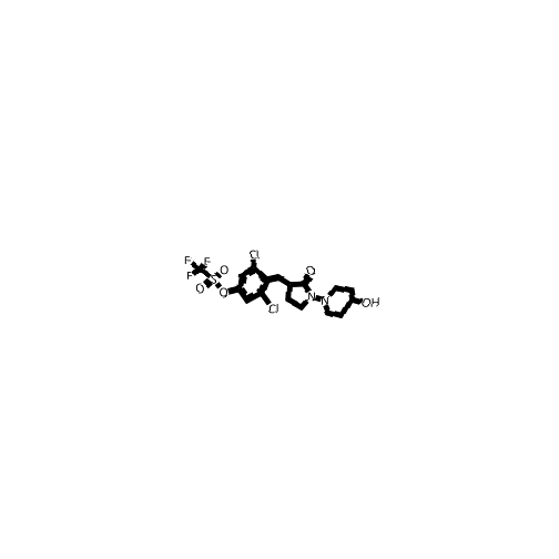 O=C1C(Cc2c(Cl)cc(OS(=O)(=O)C(F)(F)F)cc2Cl)CCN1N1CCC(O)CC1